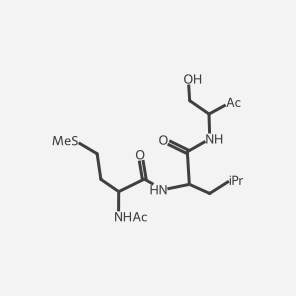 CSCCC(NC(C)=O)C(=O)NC(CC(C)C)C(=O)NC(CO)C(C)=O